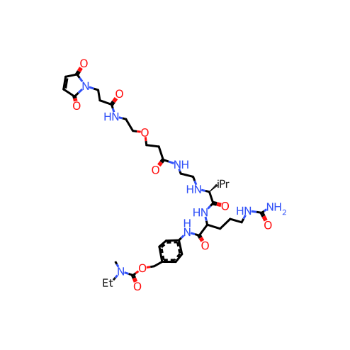 CCN(C)C(=O)OCc1ccc(NC(=O)C(CCCNC(N)=O)NC(=O)[C@@H](NCCNC(=O)CCOCCNC(=O)CCN2C(=O)C=CC2=O)C(C)C)cc1